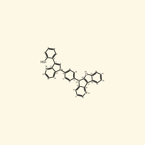 Oc1ccccc1-c1cn(-c2ccc(-n3c4cccnc4c4c5ccccc5oc43)cc2)c2cccnc12